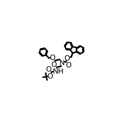 CC(C)(C)OC(=O)NCCN(CC(=O)OCc1ccccc1)C(=O)OCC1c2ccccc2-c2ccccc21